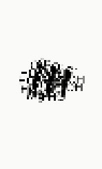 O=C([O-])C(O)C(O)C(O)C(O)CO.O=C([O-])C(O)C(O)C(O)C(O)CO.O=C([O-])C(O)C(O)C(O)C(O)CO.[Mg+2].[Na+]